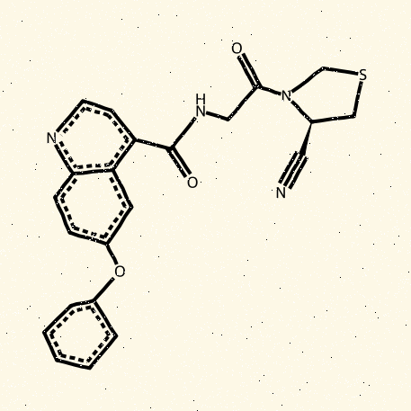 N#C[C@@H]1CSCN1C(=O)CNC(=O)c1ccnc2ccc(Oc3ccccc3)cc12